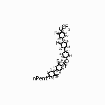 CCCCCc1ccc(-c2ccc(C(F)(F)Oc3ccc(-c4ccc(-c5ccc(OC(F)(F)F)c(F)c5)c(F)c4)cc3)c(F)c2)c(F)c1